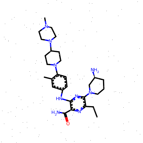 CCc1nc(C(N)=O)c(Nc2ccc(N3CCC(N4CCN(C)CC4)CC3)c(C)c2)nc1N1CCC[C@H](N)C1